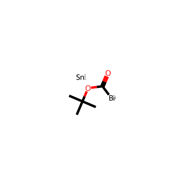 CC(C)(C)O[C](=O)[Bi].[Sn]